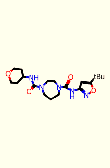 CC(C)(C)c1cc(NC(=O)N2CCCN(C(=O)NC3CCOCC3)CC2)no1